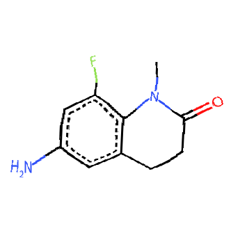 CN1C(=O)CCc2cc(N)cc(F)c21